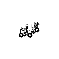 CCCC(O)CN(Cc1ccccc1SC(F)(F)F)c1cccc(OCc2cccc(OC(F)(F)F)c2)c1